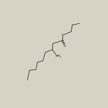 CCCCCCC(N)CC(=O)OCCC